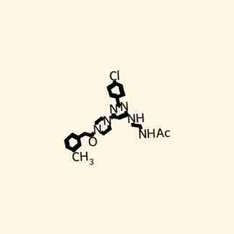 CC(=O)NCCNc1cc(N2CCN(C(=O)Cc3cccc(C)c3)CC2)nc(-c2ccc(Cl)cc2)n1